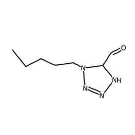 CCCCCN1N=NNC1C=O